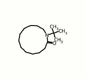 CC(C)(C)N1CCCCCCCCCCCC1=O